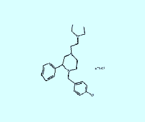 CCN(CC)CCN1CCN(Cc2ccc(Cl)cc2)C(c2ccccc2)C1.Cl.Cl